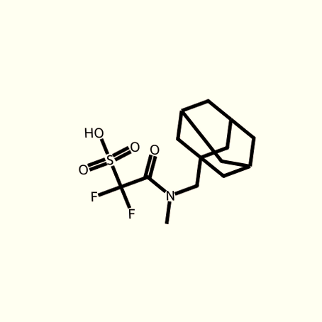 CN(CC12CC3CC(CC(C3)C1)C2)C(=O)C(F)(F)S(=O)(=O)O